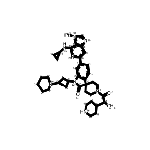 CC(C(=O)N1CCC2(CC1)C(=O)N(C1CC(N3CCCCC3)C1)c1cc(-c3cc4ncn(C(C)C)c4c(NC4CC4)n3)ccc12)C1CCNCC1